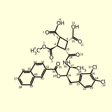 COC(=O)[C@H]1[C@@H](C(=O)O)[C@H](C(=O)O)[C@@H]1C(=O)N[C@@H](C)[C@@H](Cc1ccc(Cl)c(Cl)c1)OC(=O)c1ccc2ccccc2c1